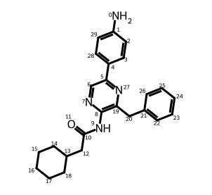 Nc1ccc(-c2cnc(NC(=O)CC3CCCCC3)c(Cc3ccccc3)n2)cc1